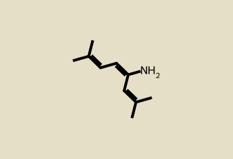 CC(C)=C/C=C(/N)C=C(C)C